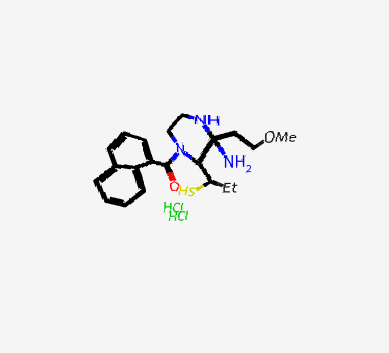 CCC(S)C1N(C(=O)c2cccc3ccccc23)CCNC1(N)CCOC.Cl.Cl